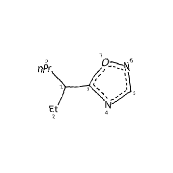 CCCC(CC)c1ncno1